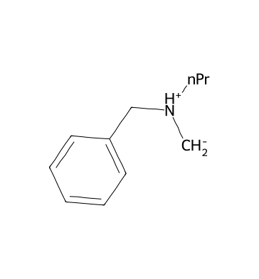 [CH2-][NH+](CCC)Cc1ccccc1